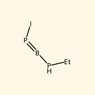 CCPB=PI